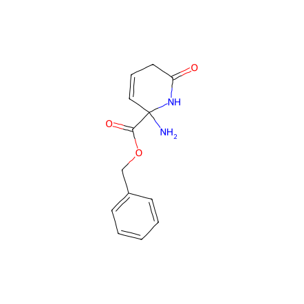 NC1(C(=O)OCc2ccccc2)C=CCC(=O)N1